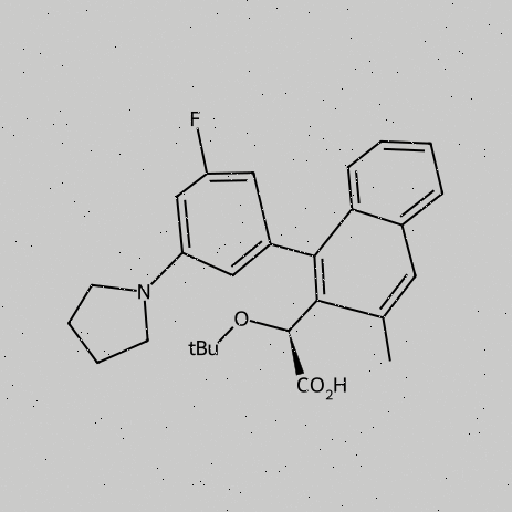 Cc1cc2ccccc2c(-c2cc(F)cc(N3CCCC3)c2)c1[C@H](OC(C)(C)C)C(=O)O